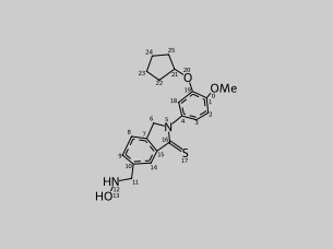 COc1ccc(N2Cc3ccc(CNO)cc3C2=S)cc1OC1CCCC1